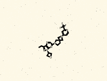 CCc1nn(C2COC2)c2nc(N3CCC4(CN(c5ccnc(C(F)(F)F)c5)C4)C3)cnc12